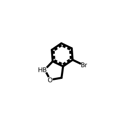 Brc1cccc2c1COB2